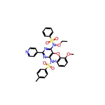 CCON(c1nc(-c2ccncc2)nc(NS(=O)(=O)c2ccc(C)cc2)c1Oc1ccccc1OC)S(=O)(=O)c1ccccc1